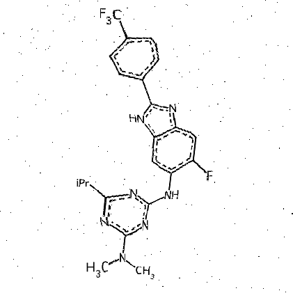 CC(C)c1nc(Nc2cc3[nH]c(-c4ccc(C(F)(F)F)cc4)nc3cc2F)nc(N(C)C)n1